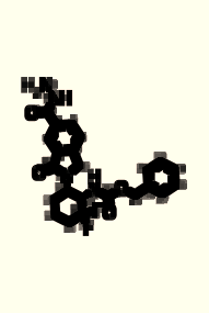 NNC(=O)c1ccc2c(c1)C(=O)N([C@@H]1CCCC(F)(F)[C@@H]1NC(=O)OCc1ccccc1)C2